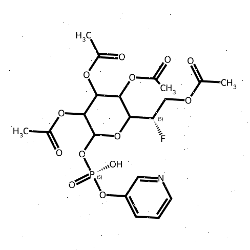 CC(=O)OC[C@H](F)C1OC(O[P@@](=O)(O)Oc2cccnc2)C(OC(C)=O)C(OC(C)=O)C1OC(C)=O